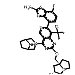 Nc1nc2c(-c3ncc4c(N5CC6CCC(C5)N6)nc(OC[C@@]56CCCN5C[C@H](F)C6)nc4c3C(F)(F)Cl)ccc(F)c2s1